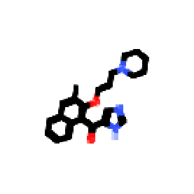 Cc1cc2ccccc2c(C(=O)c2cnc[nH]2)c1OCCCN1CCCCC1